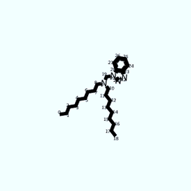 CCCCCCCCCN(CCCCCCCCC)Cn1nnc2ccccc21